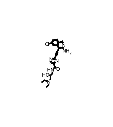 CCN(CC)CC(O)CNC(=O)c1nc(C#Cc2c(N)ncc3ccc(Cl)cc23)ns1